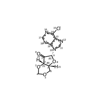 O=C1[C@H]2OCOC[C@H]2O[C@H]1n1cnc2c(Cl)ncnc21